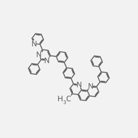 Cc1cc(-c2ccc(-c3cccc(-c4cc(-c5ccccn5)nc(-c5ccccc5)n4)c3)cc2)nc2c1ccc1ccc(-c3cccc(-c4ccccc4)c3)nc12